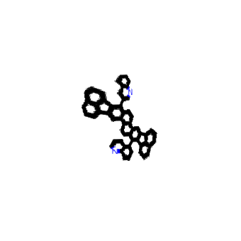 c1ccc2ncc(-c3c4c(cc5c3ccc3c6cc7c(c(-c8cccc9ncccc89)c6ccc53)-c3cccc5cccc-7c35)-c3cccc5cccc-4c35)cc2c1